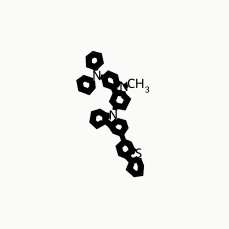 Cn1c2ccc(N(c3ccccc3)c3ccccc3)cc2c2cc(-n3c4ccccc4c4cc(-c5ccc6c(c5)sc5ccccc56)ccc43)ccc21